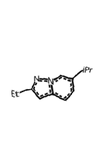 CCc1cc2ccc(C(C)C)cn2n1